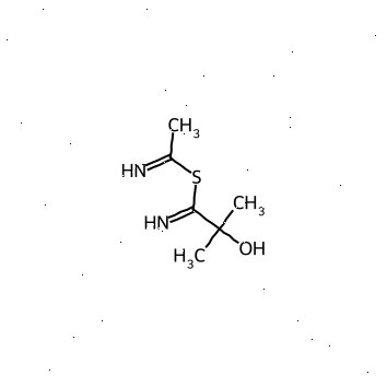 CC(=N)SC(=N)C(C)(C)O